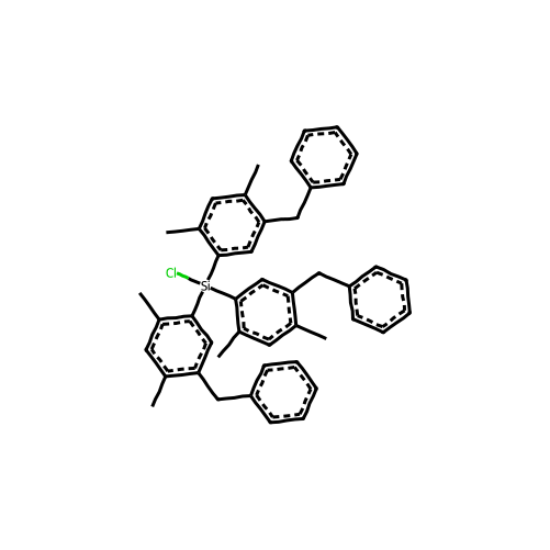 Cc1cc(C)c([Si](Cl)(c2cc(Cc3ccccc3)c(C)cc2C)c2cc(Cc3ccccc3)c(C)cc2C)cc1Cc1ccccc1